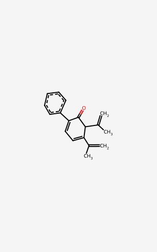 C=C(C)C1=CC=C(c2ccccc2)C(=O)C1C(=C)C